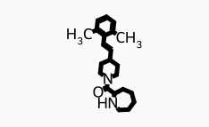 Cc1cccc(C)c1/C=C/C1CCN(C(=O)C2CCCCCN2)CC1